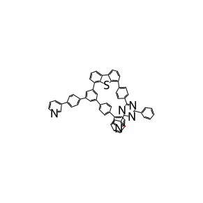 c1ccc(-c2nc(-c3ccccc3)nc(-c3ccc(-c4cccc5c4sc4c(-c6cc(-c7ccc(-c8cccnc8)cc7)cc(-c7ccc(-c8cccnc8)cc7)c6)cccc45)cc3)n2)cc1